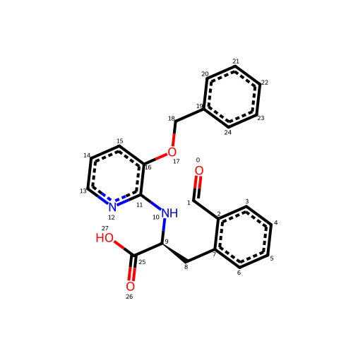 O=Cc1ccccc1C[C@H](Nc1ncccc1OCc1ccccc1)C(=O)O